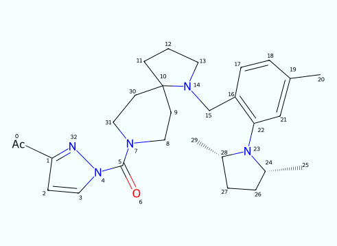 CC(=O)c1ccn(C(=O)N2CCC3(CCCN3Cc3ccc(C)cc3N3[C@H](C)CC[C@@H]3C)CC2)n1